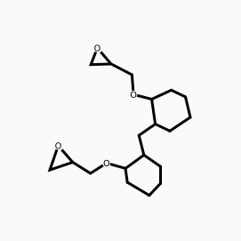 C1CCC(OCC2CO2)C(CC2CCCCC2OCC2CO2)C1